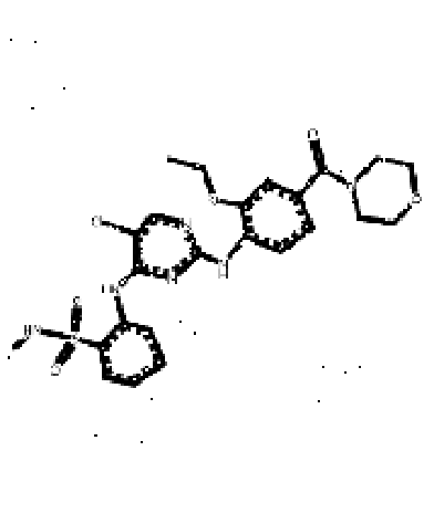 CCOc1cc(C(=O)N2CCOCC2)ccc1Nc1ncc(Cl)c(Nc2ccccc2S(=O)(=O)NC)n1